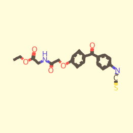 CCOC(=O)CNC(=O)COc1ccc(C(=O)c2ccc(N=C=S)cc2)cc1